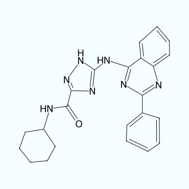 O=C(NC1CCCCC1)c1n[nH]c(Nc2nc(-c3ccccc3)nc3ccccc23)n1